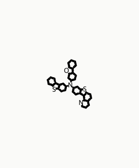 c1cnc2c(c1)ccc1sc3cc(N(c4ccc5c(c4)oc4ccccc45)c4ccc5sc6ccccc6c5c4)ccc3c12